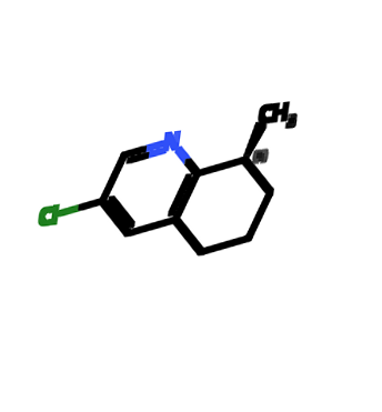 C[C@H]1CCCc2cc(Cl)cnc21